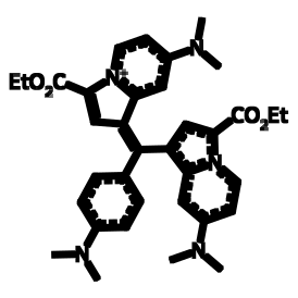 CCOC(=O)C1=C/C(=C(\c2ccc(N(C)C)cc2)c2cc(C(=O)OCC)n3ccc(N(C)C)cc23)c2cc(N(C)C)cc[n+]21